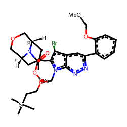 COCOc1ccccc1-c1cc2c(Br)c(C3(C)C[C@H]4COC[C@@H](C3)N4C(=O)OC(C)(C)C)n(COCC[Si](C)(C)C)c2nn1